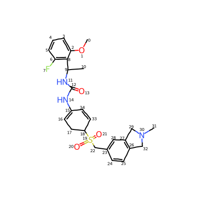 COc1cccc(F)c1C(C)NC(=O)NC1=CCC(S(=O)(=O)Cc2ccc3c(c2)CN(C)C3)C=C1